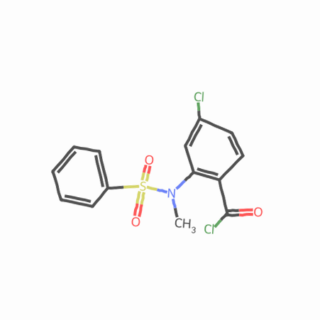 CN(c1cc(Cl)ccc1C(=O)Cl)S(=O)(=O)c1ccccc1